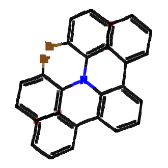 Brc1ccccc1N(c1ccccc1Br)c1c(-c2ccccc2)cccc1-c1ccccc1